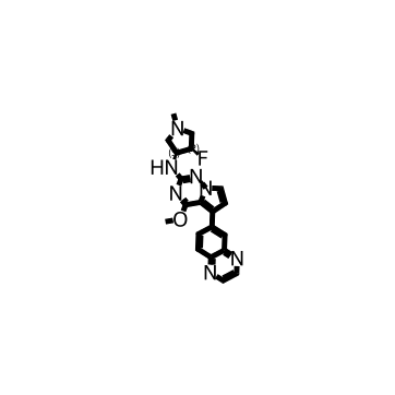 COc1nc(N[C@H]2CN(C)C[C@H]2F)nn2ccc(-c3ccc4nccnc4c3)c12